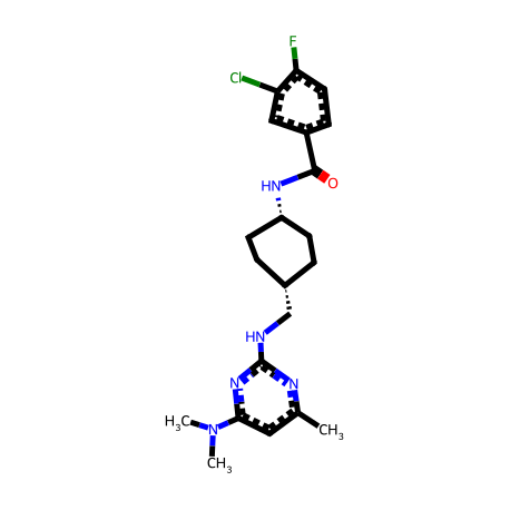 Cc1cc(N(C)C)nc(NC[C@H]2CC[C@@H](NC(=O)c3ccc(F)c(Cl)c3)CC2)n1